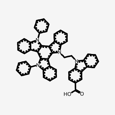 O=C(O)c1ccc2c(c1)c1ccccc1n2CCn1c2ccccc2c2c1c1c3ccccc3n(-c3ccccc3)c1c1c3ccccc3n(-c3ccccc3)c21